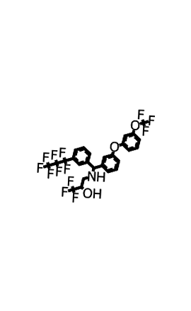 OC(CNC(c1cccc(Oc2cccc(OC(F)(F)F)c2)c1)c1cccc(C(F)(F)C(F)(F)C(F)(F)F)c1)C(F)(F)F